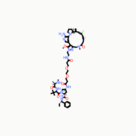 C=C1/C=C(F)\C=C/CC(=O)N(C)Cc2nn(CCNC(=O)CCOCCOCCC(=O)N[C@@H]3C[C@H](C(=O)N[C@@H](CC)c4ccccc4)N(C(=O)C(NC(=O)[C@@H](C)NC)C(C)(C)C)C3)c(OC)c2-c2cnc(N)c(c2)N2CCC[C@H]12